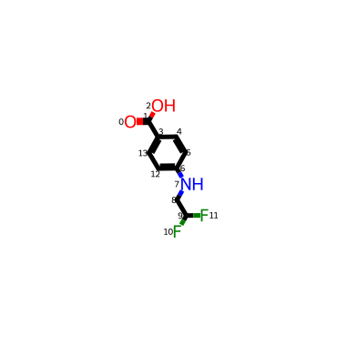 O=C(O)c1ccc(NCC(F)F)cc1